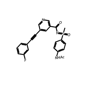 CC(=O)Nc1ccc(S(C)(=O)=NC(=O)c2cncc(C#Cc3cccc(F)c3)c2)cc1